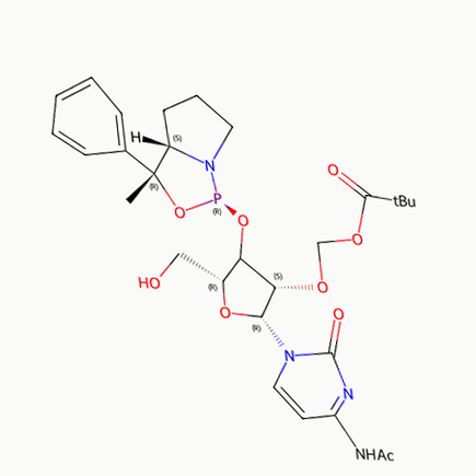 CC(=O)Nc1ccn([C@@H]2O[C@H](CO)C(O[P@@]3O[C@](C)(c4ccccc4)[C@@H]4CCCN43)[C@@H]2OCOC(=O)C(C)(C)C)c(=O)n1